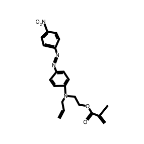 C=CCN(CCOC(=O)C(=C)C)c1ccc(N=Nc2ccc([N+](=O)[O-])cc2)cc1